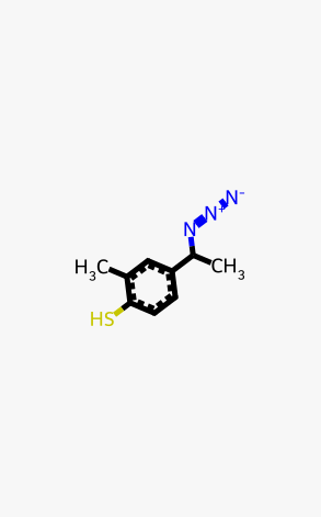 Cc1cc(C(C)N=[N+]=[N-])ccc1S